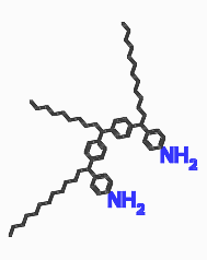 CCCCCCCCCCCCC(c1ccc(N)cc1)c1ccc(C(CCCCCCCCC)c2ccc(C(CCCCCCCCCCCC)c3ccc(N)cc3)cc2)cc1